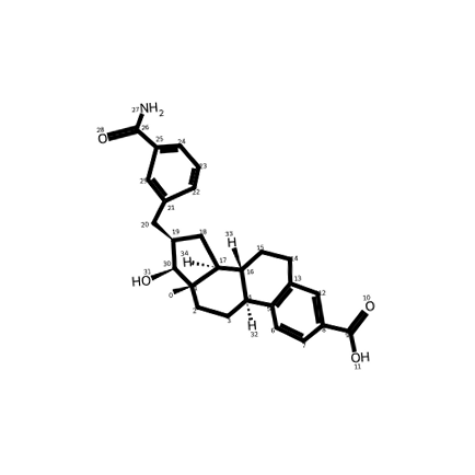 C[C@]12CC[C@@H]3c4ccc(C(=O)O)cc4CC[C@H]3[C@@H]1C[C@H](Cc1cccc(C(N)=O)c1)[C@@H]2O